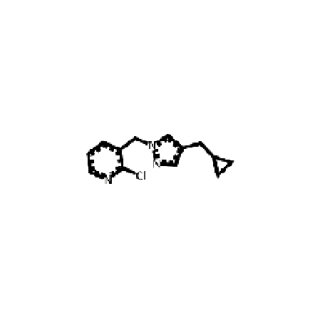 Clc1ncccc1Cn1cc(CC2CC2)cn1